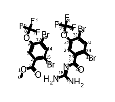 COC(=O)c1cc(OC(F)(F)F)c(Br)cc1Br.NC(N)=NC(=O)c1cc(OC(F)(F)F)c(Br)cc1Br